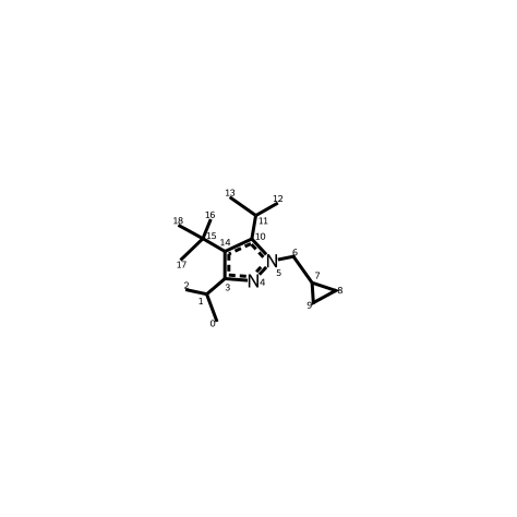 CC(C)c1nn(CC2CC2)c(C(C)C)c1C(C)(C)C